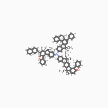 CC1(C)c2cc(N(c3ccc4c(c3)C(C)(C)c3cc(-c5ccccc5)c5c(c3-4)-c3ccccc3CC5)c3ccc4c(c3)C(C)(C)c3cc(-c5ccc6ccccc6c5)c5oc6ccccc6c5c3-4)ccc2-c2cc3c(cc21)-c1c(ccc2oc4ccccc4c12)C3(C)C